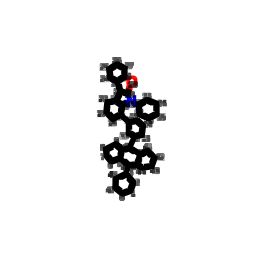 c1ccc(-c2c3ccccc3c(-c3cccc(-c4cccc5c6c7ccccc7oc6n(-c6ccccc6)c45)c3)c3ccccc23)cc1